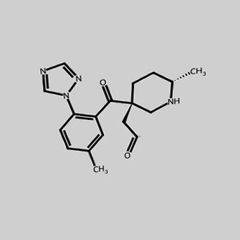 Cc1ccc(-n2cncn2)c(C(=O)[C@]2(C[C]=O)CC[C@H](C)NC2)c1